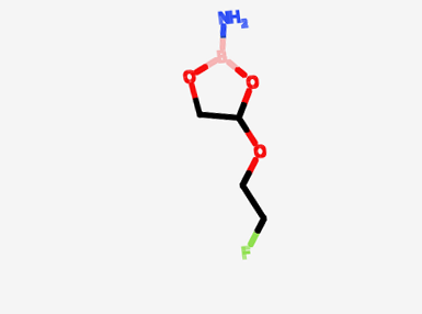 NB1OCC(OCCF)O1